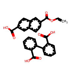 C=COC(=O)c1ccc2cc(C(=O)O)ccc2c1.O=C(O)c1ccccc1-c1ccccc1C(=O)O